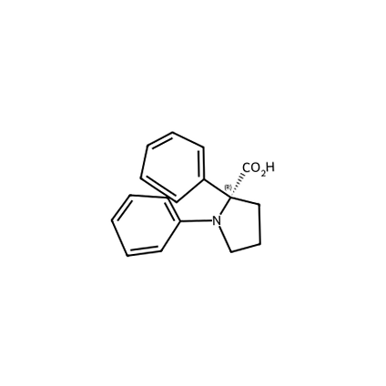 O=C(O)[C@]1(c2ccccc2)CCCN1c1ccccc1